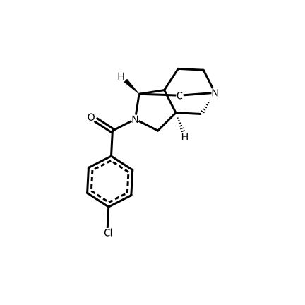 O=C(c1ccc(Cl)cc1)N1C[C@@H]2C[N@@]3CCC2[C@@H]1C3